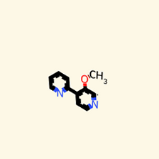 COc1[c]nccc1-c1ccccn1